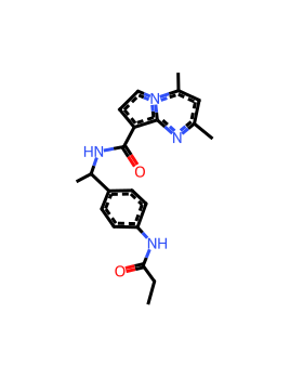 CCC(=O)Nc1ccc(C(C)NC(=O)c2ccn3c(C)cc(C)nc23)cc1